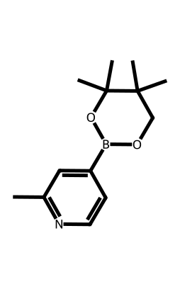 Cc1cc(B2OCC(C)(C)C(C)(C)O2)ccn1